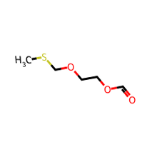 CSCOCCOC=O